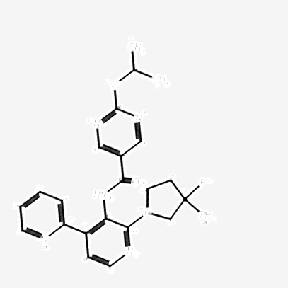 CC(C)Oc1ncc(C(=O)Nc2c(-c3ccccn3)ccnc2N2CCC(F)(P)C2)cn1